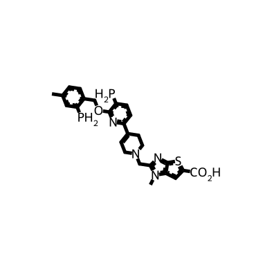 Cc1ccc(COc2nc(C3=CCN(Cc4nc5sc(C(=O)O)cc5n4C)CC3)ccc2P)c(P)c1